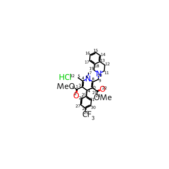 COC(=O)C1=C(C)N(C)C(CN2CCc3ccccc3C2)=C(C(=O)OC)C1c1ccc(C(F)(F)F)cc1.Cl